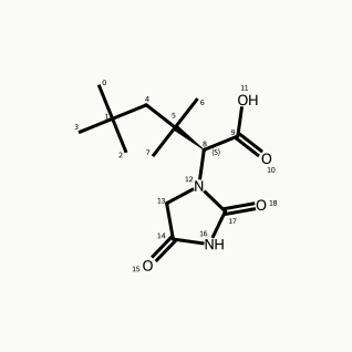 CC(C)(C)CC(C)(C)[C@@H](C(=O)O)N1CC(=O)NC1=O